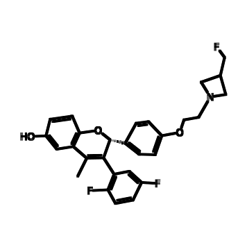 CC1=C(c2cc(F)ccc2F)[C@@H](c2ccc(OCCN3CC(CF)C3)cc2)Oc2ccc(O)cc21